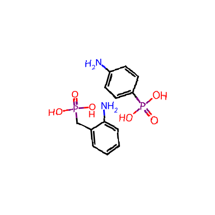 Nc1ccc(P(=O)(O)O)cc1.Nc1ccccc1CP(=O)(O)O